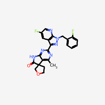 Cc1nc(-c2nn(Cc3ccccc3F)c3ncc(F)cc23)nc2c1C1(CCOC1)C(=O)N2